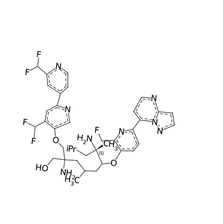 CC(C)C[C@](C)(N)C(CC(C)CC(N)(CO)COc1cnc(-c2ccnc(C(F)F)c2)cc1C(F)F)Oc1ccc(-c2ccnc3ccnn23)nc1CF